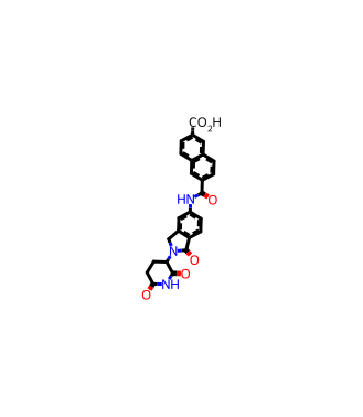 O=C1CCC(N2Cc3cc(NC(=O)c4ccc5cc(C(=O)O)ccc5c4)ccc3C2=O)C(=O)N1